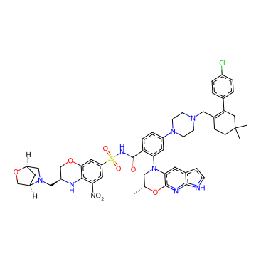 C[C@@H]1CN(c2cc(N3CCN(CC4=C(c5ccc(Cl)cc5)CC(C)(C)CC4)CC3)ccc2C(=O)NS(=O)(=O)c2cc3c(c([N+](=O)[O-])c2)N[C@@H](CN2C[C@H]4C[C@@H]2CO4)CO3)c2cc3cc[nH]c3nc2O1